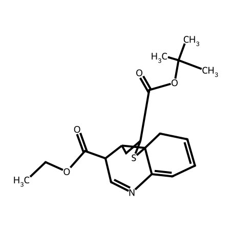 CCOC(=O)C1C=NC2=CC=CCC23SC(C(=O)OC(C)(C)C)CC13